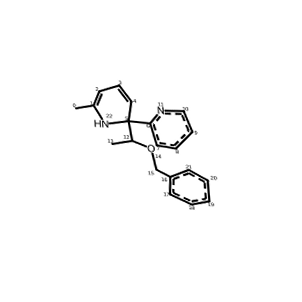 CC1=CC=CC(c2ccccn2)(C(C)OCc2ccccc2)N1